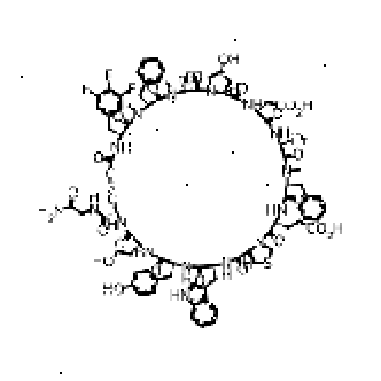 CCCC[C@H]1C(=O)N2C[C@H](O)C[C@@H]2C(=O)N[C@@H](CC(=O)O)C(=O)N[C@@H](C(C)C)C(=O)N(C)[C@@H](Cc2ccccc2)C(=O)N[C@@H](CCC(=O)O)C(=O)N2CSC[C@@H]2C(=O)N[C@@H](Cc2c[nH]c3ccccc23)C(=O)N[C@@H](Cc2ccc(O)cc2)C(=O)N[C@@H](CCO)C(=O)N[C@H](C(=O)NCC(N)=O)CSCC(=O)N[C@@H](Cc2cc(F)c(F)c(F)c2)C(=O)N(C)[C@@H](Cc2ccccc2)C(=O)N1C